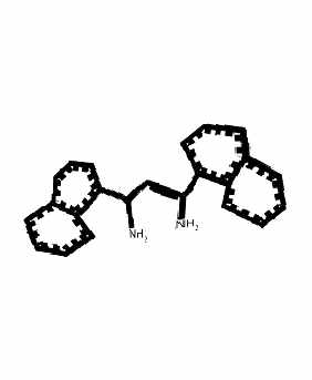 N/C(=C\C(N)c1cccc2ccccc12)c1cccc2ccccc12